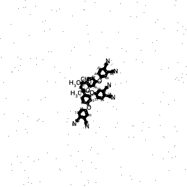 CC1(C)CC(C)(c2ccc(Oc3ccc(C#N)c(C#N)c3)cc2Oc2ccc(C#N)c(C#N)c2)Oc2cc(Oc3ccc(C#N)c(C#N)c3)ccc21